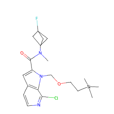 CN(C(=O)c1cc2ccnc(Cl)c2n1COCC[Si](C)(C)C)C12CC(F)(C1)C2